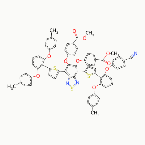 COC(=O)c1ccc(Oc2c(Oc3ccc(C(=O)OC)cc3)c(-c3ccc(-c4c(Oc5ccc(C)cc5)cccc4Oc4ccc(C#N)cc4)s3)c3nsnc3c2-c2ccc(-c3c(Oc4ccc(C)cc4)cccc3Oc3ccc(C)cc3)s2)cc1